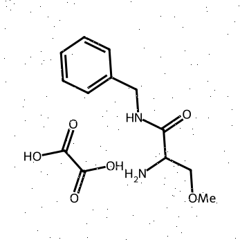 COCC(N)C(=O)NCc1ccccc1.O=C(O)C(=O)O